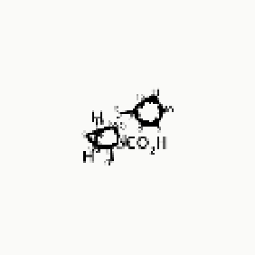 CC1[C@H]2C[C@H]2[C@H](Cc2ccccc2)N1C(=O)O